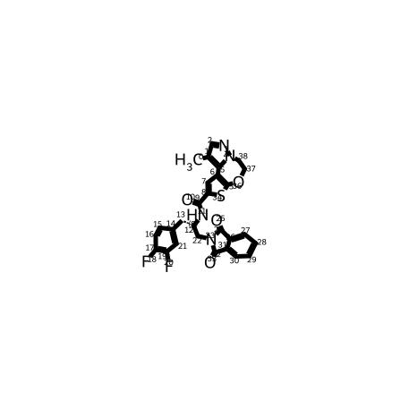 Cc1cnn2c1-c1cc(C(=O)N[C@@H](Cc3ccc(F)c(F)c3)CN3C(=O)c4ccccc4C3=O)sc1OCC2